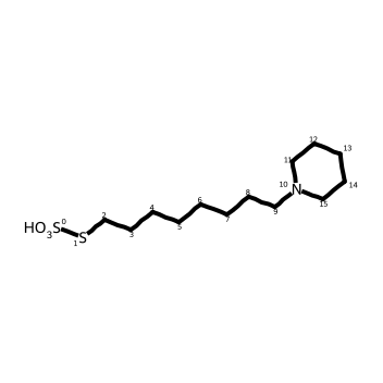 O=S(=O)(O)SCCCCCCCCN1CCCCC1